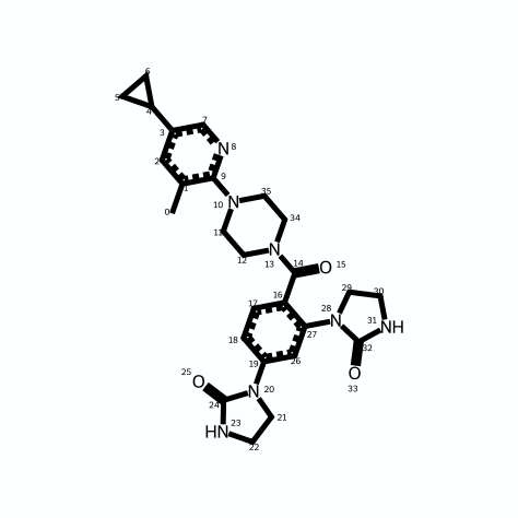 Cc1cc(C2CC2)cnc1N1CCN(C(=O)c2ccc(N3CCNC3=O)cc2N2CCNC2=O)CC1